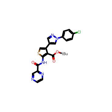 CC(C)(C)OC(=O)c1c(-c2cnn(-c3ccc(Cl)cc3)c2)csc1NC(=O)c1cnccn1